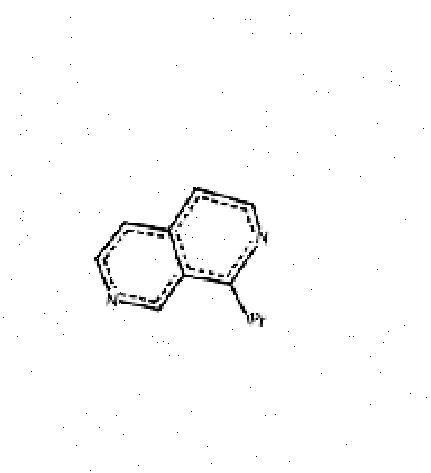 CC(C)c1nccc2ccncc12